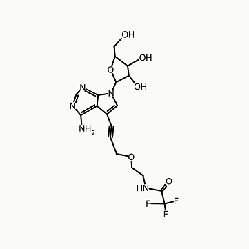 Nc1ncnc2c1c(C#CCOCCNC(=O)C(F)(F)F)cn2C1OC(CO)C(O)C1O